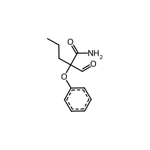 CCCC(C=O)(Oc1ccccc1)C(N)=O